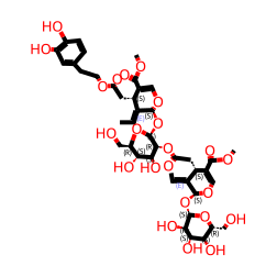 C/C=C1/[C@H](O[C@@H]2O[C@H](CO)[C@@H](O)[C@H](O)[C@H]2O)OC=C(C(=O)OC)[C@H]1CC(=O)O[C@H]1[C@H](O[C@@H]2OC=C(C(=O)OC)[C@@H](CC(=O)OCCc3ccc(O)c(O)c3)/C2=C\C)O[C@H](CO)[C@@H](O)[C@@H]1O